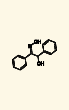 ON=C(c1ccccc1)C(O)c1ccccc1